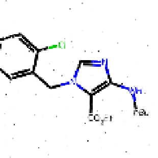 CCCCNc1ncn(Cc2ccccc2Cl)c1C(=O)OCC